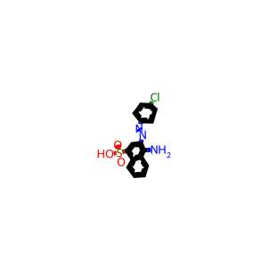 Nc1c(/N=N/c2ccc(Cl)cc2)cc(S(=O)(=O)O)c2ccccc12